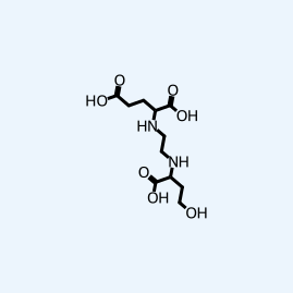 O=C(O)CCC(NCCNC(CCO)C(=O)O)C(=O)O